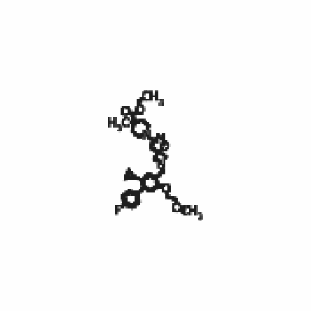 CCOC(=O)C1(C)CCN(C2=NOC3(C2)CN(Cc2cc(C4CC4)c(-c4ccc(F)cc4)cc2OCCOC)C3)CC1